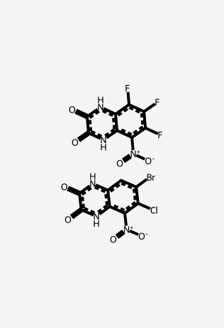 O=c1[nH]c2c(F)c(F)c(F)c([N+](=O)[O-])c2[nH]c1=O.O=c1[nH]c2cc(Br)c(Cl)c([N+](=O)[O-])c2[nH]c1=O